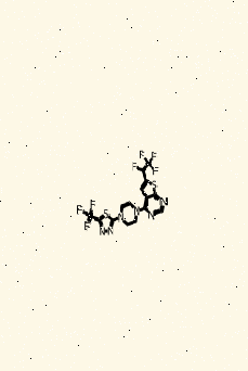 FC(c1cc2c(N3CCN(c4nnc(C(F)(F)F)s4)CC3)ncnc2s1)C(F)(F)F